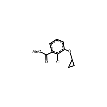 COC(=O)c1cccc(OC2CC2)c1Cl